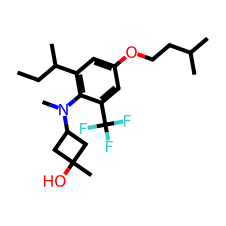 CCC(C)c1cc(OCCC(C)C)cc(C(F)(F)F)c1N(C)C1CC(C)(O)C1